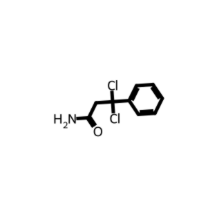 NC(=O)CC(Cl)(Cl)c1ccccc1